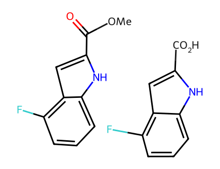 COC(=O)c1cc2c(F)cccc2[nH]1.O=C(O)c1cc2c(F)cccc2[nH]1